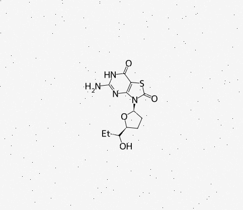 CCC(O)[C@@H]1CC[C@H](n2c(=O)sc3c(=O)[nH]c(N)nc32)O1